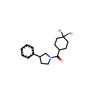 CC(C)C1(C(C)(C)C)CCC(C(=O)N2CCC(c3ccccc3)C2)CC1